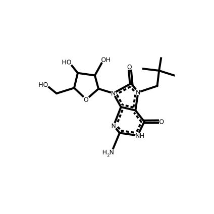 CC(C)(C)Cn1c(=O)n(C2OC(CO)C(O)C2O)c2nc(N)[nH]c(=O)c21